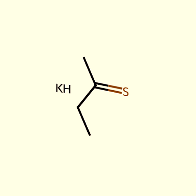 CCC(C)=S.[KH]